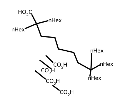 CC(=O)O.CC(=O)O.CC(=O)O.CC(=O)O.CCCCCCC(CCCCCC)(CCCCCC)CCCCCC(CCCCCC)(CCCCCC)C(=O)O